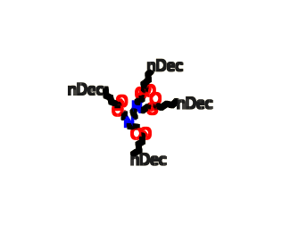 CCCCCCCCCCCCCCC(=O)OCCN(CCOC(=O)CCCCCCCCCCCCCC)CCN(CCOC(=O)CCCCCCCCCCCCCC)CCOC(=O)CCCCCCCCCCCCCC